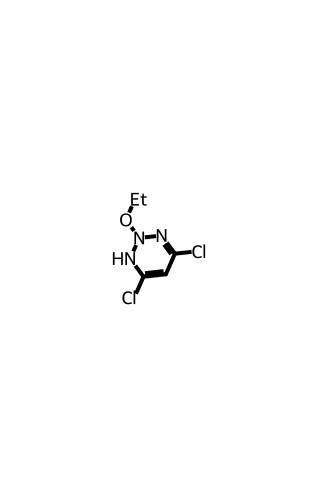 CCON1N=C(Cl)C=C(Cl)N1